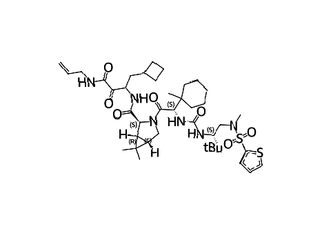 C=CCNC(=O)C(=O)C(CC1CCC1)NC(=O)[C@@H]1[C@@H]2[C@H](CN1C(=O)[C@@H](NC(=O)N[C@H](CN(C)S(=O)(=O)c1cccs1)C(C)(C)C)C1(C)CCCCC1)C2(C)C